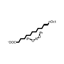 CC(C)[O][Al+][O]C(C)C.CCCCCCCCC=CCCCCCCCCCC(=O)[O-]